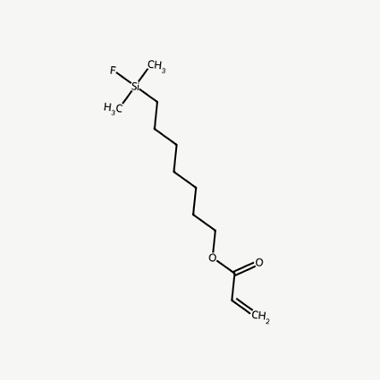 C=CC(=O)OCCCCCCC[Si](C)(C)F